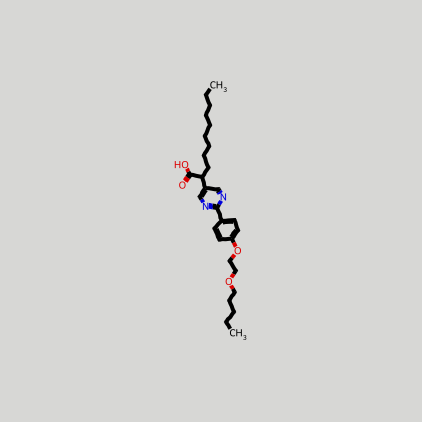 CCCCCCCCCC(C(=O)O)c1cnc(-c2ccc(OCCOCCCCC)cc2)nc1